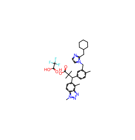 Cc1ccc(C(c2ccc3c(nnn3C)c2C)C(C)(C)C(=O)O)cc1Cn1ccnc1CC1CCCCC1.O=C(O)C(F)(F)F